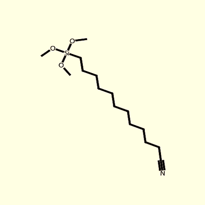 CO[Si](CCCCCCCCCCCC#N)(OC)OC